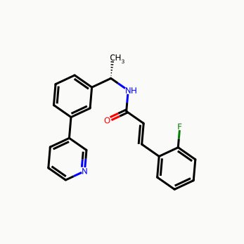 C[C@H](NC(=O)/C=C/c1ccccc1F)c1cccc(-c2cccnc2)c1